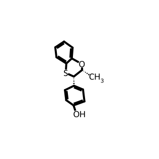 C[C@H]1Oc2ccccc2S[C@H]1c1ccc(O)cc1